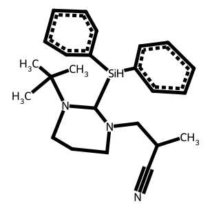 CC(C#N)CN1CCCN(C(C)(C)C)C1[SiH](c1ccccc1)c1ccccc1